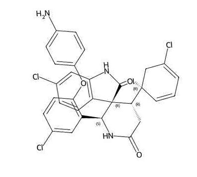 Nc1ccc(Oc2ccc(Cl)cc2[C@@H]2NC(=O)C[C@@H]([C@]3(I)C=CC=C(Cl)C3)[C@]23C(=O)Nc2cc(Cl)ccc23)cc1